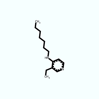 CCCCCCCNc1ccncc1CC